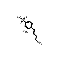 NCCCCc1ccc(S(=O)(=O)O)cc1.[NaH]